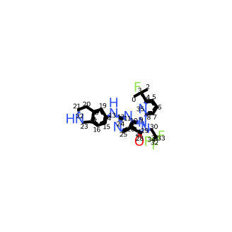 CC(C)(F)c1cccc(-n2c3nc(Nc4ccc5c(c4)CCNC5)ncc3c(=O)n2CC(F)(F)F)n1